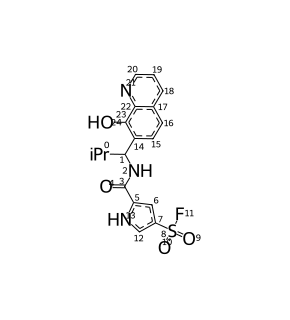 CC(C)C(NC(=O)c1cc(S(=O)(=O)F)c[nH]1)c1ccc2cccnc2c1O